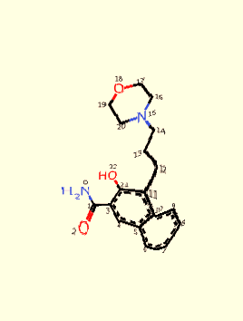 NC(=O)c1cc2ccccc2c(CCCN2CCOCC2)c1O